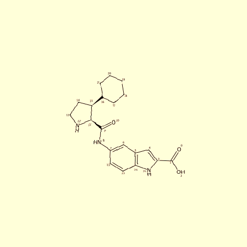 O=C(O)c1cc2cc(NC(=O)[C@H]3NCC[C@H]3C3CCCCC3)ccc2[nH]1